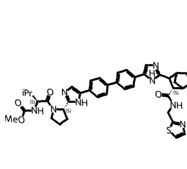 COC(=O)N[C@H](C(=O)N1CCC[C@H]1c1ncc(-c2ccc(-c3ccc(-c4cnc(C5C6CCC(C6)[C@@H]5C(=O)NCc5nccs5)[nH]4)cc3)cc2)[nH]1)C(C)C